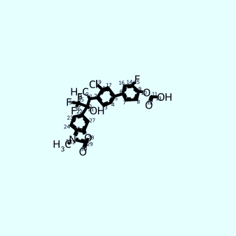 CC(c1ccc(-c2ccc(OC(=O)O)c(F)c2)cc1Cl)C(O)(c1ccc2c(c1)oc(=O)n2C)C(F)(F)F